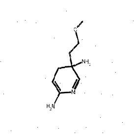 COCCC1(N)C=NC(N)=CC1